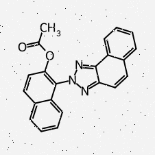 CC(=O)Oc1ccc2ccccc2c1-n1nc2ccc3ccccc3c2n1